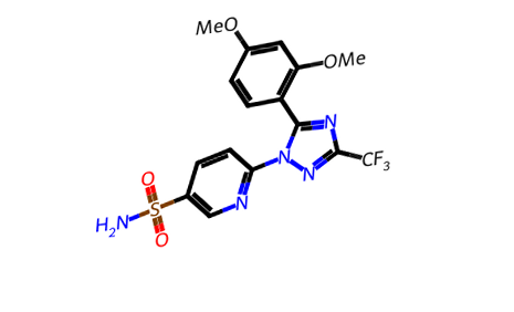 COc1ccc(-c2nc(C(F)(F)F)nn2-c2ccc(S(N)(=O)=O)cn2)c(OC)c1